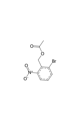 CC(=O)OCc1c(Br)cccc1[N+](=O)[O-]